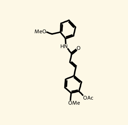 COCc1ccccc1NC(=O)C=Cc1ccc(OC)c(OC(C)=O)c1